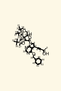 C[C@@H](O)C#Cc1cn([C@@H]2O[C@@H]3CO[Si](C(C)(C)C)(C(C)(C)C)O[C@H]3[C@H]2O[Si](C)(C)C(C)(C)C)c2ncnc(OCc3ccccc3)c12